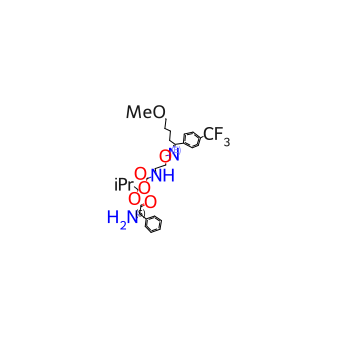 COCCCC/C(=N\OCCNC(=O)OC(OC(=O)[C@@H](N)c1ccccc1)C(C)C)c1ccc(C(F)(F)F)cc1